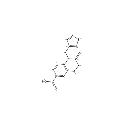 O=C(O)c1ccc2c(c1)SCC(=O)N2Cc1ccsc1